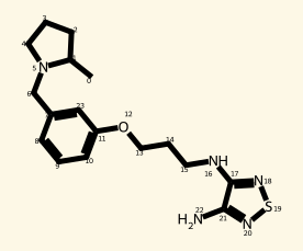 CC1CCCN1Cc1cccc(OCCCNc2nsnc2N)c1